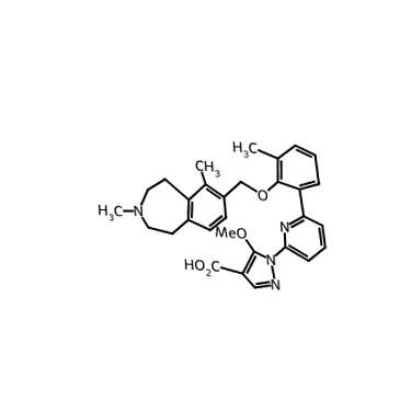 COc1c(C(=O)O)cnn1-c1cccc(-c2cccc(C)c2OCc2ccc3c(c2C)CCN(C)CC3)n1